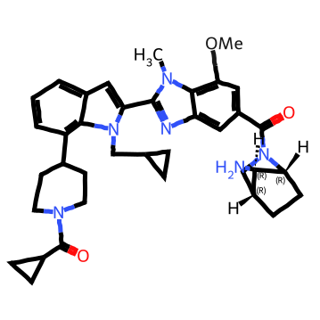 COc1cc(C(=O)N2C[C@H]3CC[C@@H]2[C@@H]3N)cc2nc(-c3cc4cccc(C5CCN(C(=O)C6CC6)CC5)c4n3CC3CC3)n(C)c12